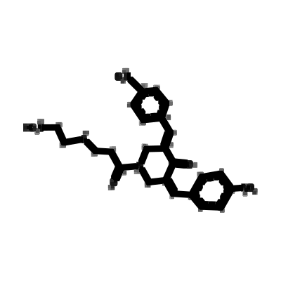 O=C1/C(=C\c2ccc([N+](=O)[O-])cc2)CN(C(=O)CCSCCS(=O)(=O)O)C/C1=C\c1ccc([N+](=O)[O-])cc1